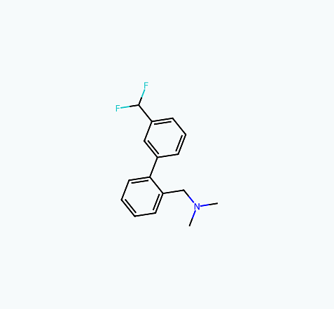 CN(C)Cc1ccccc1-c1cccc(C(F)F)c1